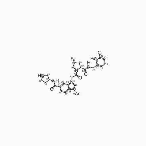 CC(=O)c1cn(CC(=O)N2C[C@H](F)C[C@H]2C(=O)NCc2cccc(Cl)c2F)c2cc(C(=O)NC3CCNC3)ccc12